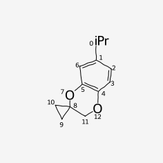 CC(C)c1ccc2c(c1)OC1(CC1)CO2